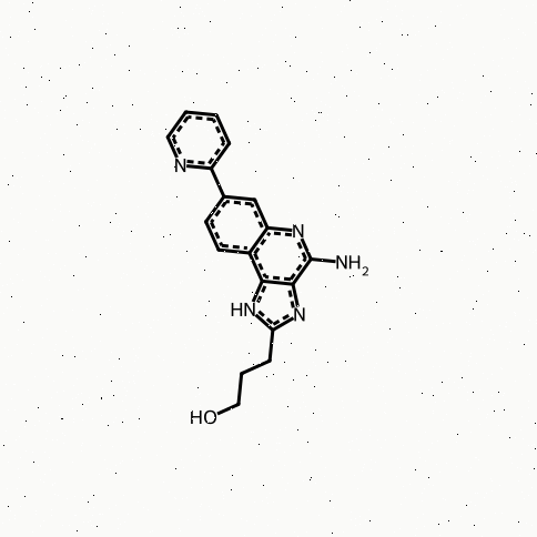 Nc1nc2cc(-c3ccccn3)ccc2c2[nH]c(CCCO)nc12